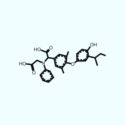 CCC(C)c1cc(Oc2c(C)cc(C(C(=O)O)N(CC(=O)O)c3ccccc3)cc2C)ccc1O